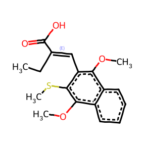 CC/C(=C\c1c(SC)c(OC)c2ccccc2c1OC)C(=O)O